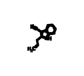 C=CCc1[nH]c2ccccc2c1C#N